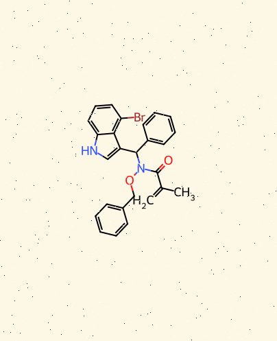 C=C(C)C(=O)N(OCc1ccccc1)C(c1ccccc1)c1c[nH]c2cccc(Br)c12